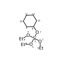 CCO[Si](OCC)(OCC)OC1CCCCC1